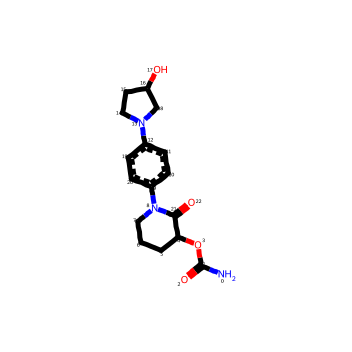 NC(=O)OC1CCCN(c2ccc(N3CCC(O)C3)cc2)C1=O